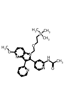 COc1ccc2c(n1)c(-c1ccccn1)c(-c1ccnc(NC(C)=O)c1)n2COCC[Si](C)(C)C